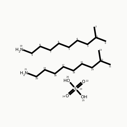 CC(C)CCCCCCCN.CC(C)CCCCCCCN.O=S(=O)(O)O